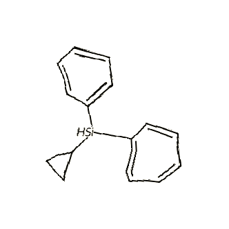 c1ccc([SiH](c2ccccc2)C2CC2)cc1